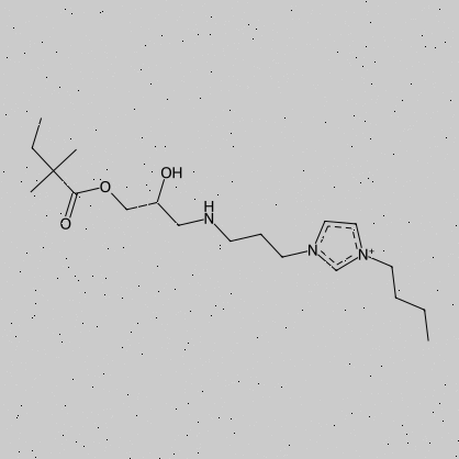 CCCC[n+]1ccn(CCCNCC(O)COC(=O)C(C)(C)CC)c1